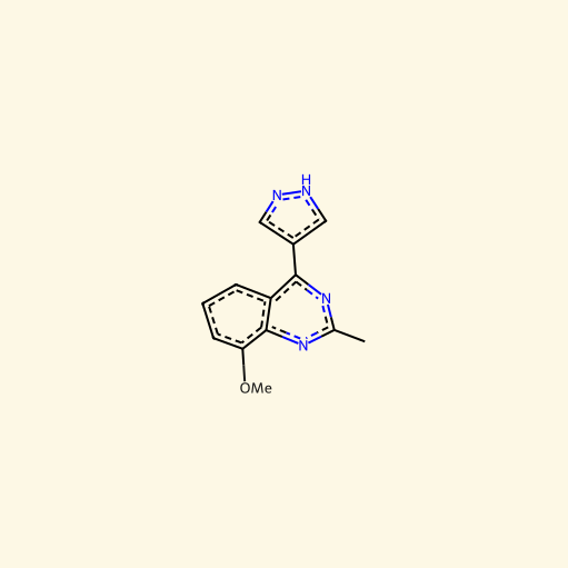 COc1cccc2c(-c3cn[nH]c3)nc(C)nc12